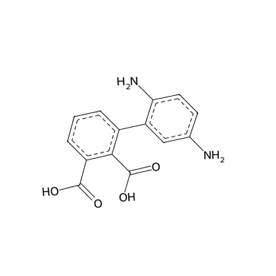 Nc1ccc(N)c(-c2cccc(C(=O)O)c2C(=O)O)c1